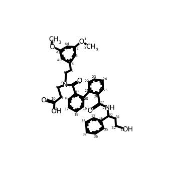 COc1cc(CCN(CCC(=O)O)C(=O)c2ccccc2-c2ccccc2C(=O)NC(CCO)c2ccccc2)cc(OC)c1